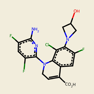 Nc1nc(N2CC=C(C(=O)O)c3cc(F)c(N4CC(O)C4)c(Cl)c32)c(F)cc1F